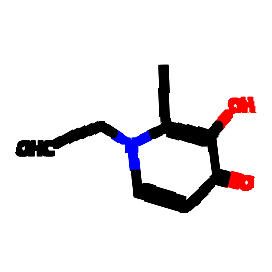 Cc1c(O)c(=O)ccn1CC=O